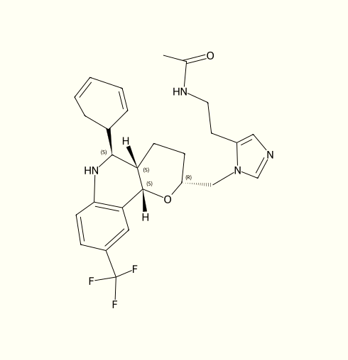 CC(=O)NCCc1cncn1C[C@H]1CC[C@@H]2[C@H](O1)c1cc(C(F)(F)F)ccc1N[C@H]2C1C=CC=CC1